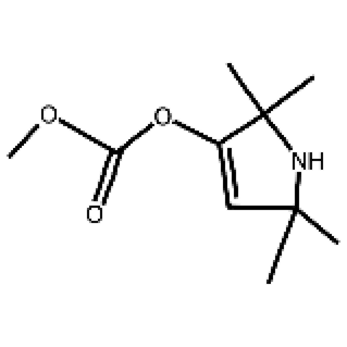 COC(=O)OC1=CC(C)(C)NC1(C)C